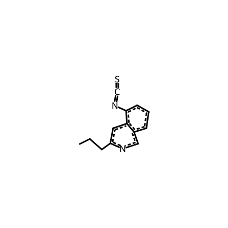 CCCc1cc2c(N=C=S)cccc2cn1